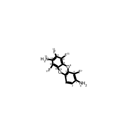 Nc1ccc2c(c1F)Oc1c(F)c(F)c(N)c(F)c1O2